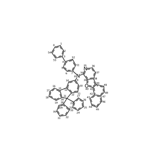 c1ccc(-c2ccc(N(c3ccc4c(c3)-c3ccccc3C4(c3ccccc3)c3ccccc3)c3nccc4c3oc3c5ccccc5ccc43)cc2)cc1